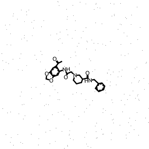 CC(=O)c1cc2c(cc1NC(=O)CN1CCCC(C(=O)NCc3ccccc3)C1)OCO2